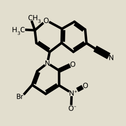 CC1(C)C=C(n2cc(Br)cc([N+](=O)[O-])c2=O)c2cc(C#N)ccc2O1